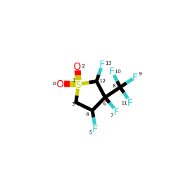 O=S1(=O)CC(F)C(F)(C(F)(F)F)C1F